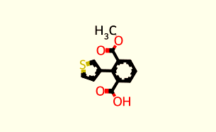 COC(=O)c1cccc(C(=O)O)c1-c1ccsc1